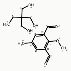 CCC(CO)(CO)CO.COc1c(C=O)cc(C)cc1C=O